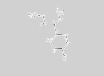 CCOC(CO)c1ccc(Cl)cc1